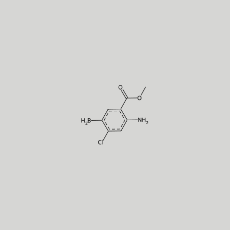 Bc1cc(C(=O)OC)c(N)cc1Cl